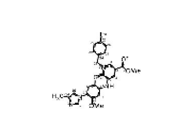 COC(=O)c1cc(Nc2ccc(-n3cnc(C)c3)c(OC)c2)c(=O)n(Cc2ccc(F)cc2)c1